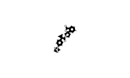 O=C1OC2(CCN(C(=O)C3(c4ccc(-n5cncn5)cc4)CC3)C2)c2ccccc21